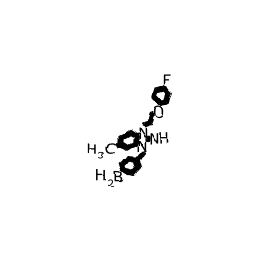 Bc1ccc(Cn2c(=N)n(CCCOc3ccc(F)cc3)c3ccc(C)cc32)cc1